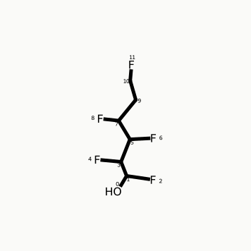 OC(F)C(F)C(F)C(F)CCF